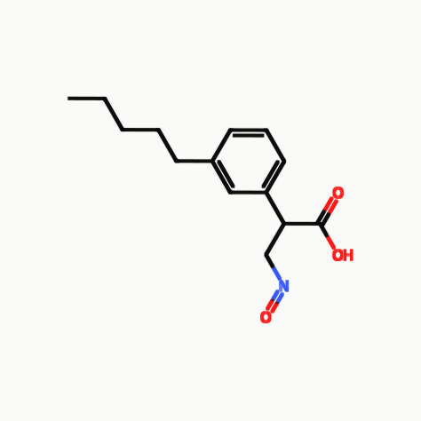 CCCCCc1cccc(C(CN=O)C(=O)O)c1